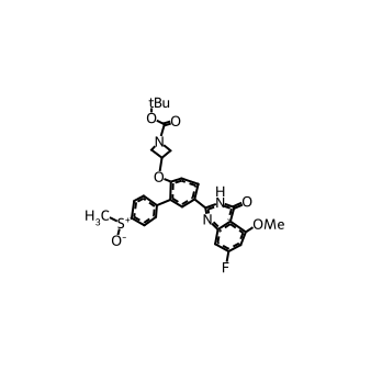 COc1cc(F)cc2nc(-c3ccc(OC4CN(C(=O)OC(C)(C)C)C4)c(-c4ccc([S+](C)[O-])cc4)c3)[nH]c(=O)c12